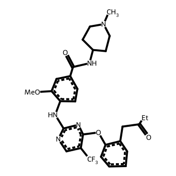 CCC(=O)Cc1ccccc1Oc1nc(Nc2ccc(C(=O)NC3CCN(C)CC3)cc2OC)ncc1C(F)(F)F